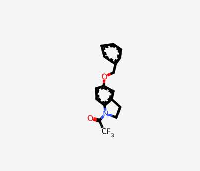 O=C(N1CCc2cc(OCc3ccccc3)ccc21)C(F)(F)F